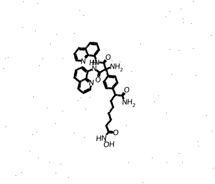 NC(=O)C(CCCCCC(=O)NO)c1ccc(C(N)(C(=O)Nc2cccc3cccnc23)C(=O)Nc2cccc3cccnc23)cc1